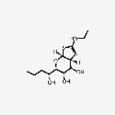 CCC[C@@H](O)[C@H]1O[C@@H]2SC(NCC)=N[C@@H]2[C@@H](O)[C@@H]1O